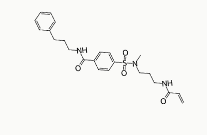 C=CC(=O)NCCCN(C)S(=O)(=O)c1ccc(C(=O)NCCCc2ccccc2)cc1